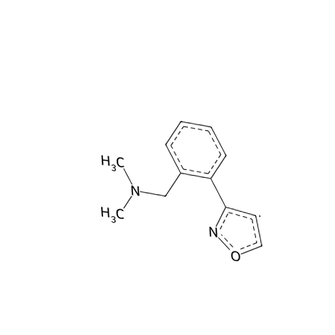 CN(C)Cc1ccccc1-c1[c]con1